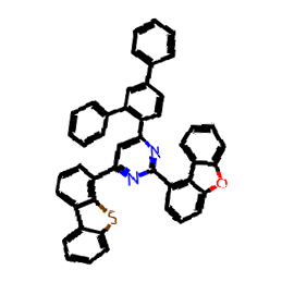 c1ccc(-c2ccc(-c3cc(-c4cccc5c4sc4ccccc45)nc(-c4cccc5oc6ccccc6c45)n3)c(-c3ccccc3)c2)cc1